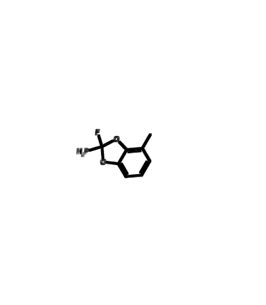 Cc1cccc2c1OC(F)(P)O2